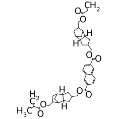 C=CC(=O)OCC1CC2CC1[C@@H]1CC(COC(=O)c3ccc4cc(C(=O)OCC5C[C@@H]6C7CC(CC7COC(=O)C(=C)C)[C@@H]6C5)ccc4c3)C[C@H]21